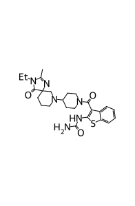 CCN1C(=O)C2(CCCN(C3CCN(C(=O)c4c(NC(N)=O)sc5ccccc45)CC3)C2)N=C1C